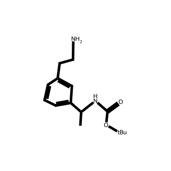 CC(NC(=O)OC(C)(C)C)c1cccc(CCN)c1